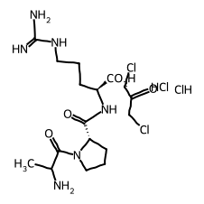 CC(N)C(=O)N1CCC[C@H]1C(=O)N[C@@H](CCCNC(=N)N)C(=O)O.Cl.Cl.O=C(CCl)CCl